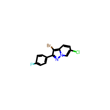 Fc1ccc(-c2nn3cc(Cl)ccc3c2Br)cc1